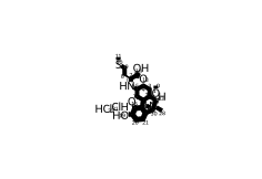 CO[C@@]12CCC(N[C@@H](CCSC)C(=O)O)C3Oc4c(O)ccc5c4[C@@]31CCN(C)[C@@H]2C5.Cl.Cl